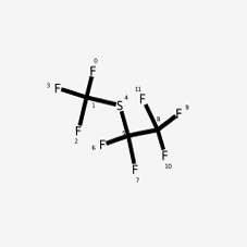 FC(F)(F)SC(F)(F)C(F)(F)F